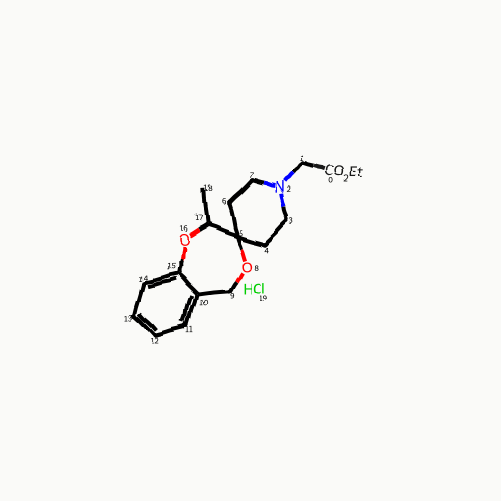 CCOC(=O)CN1CCC2(CC1)OCc1ccccc1OC2C.Cl